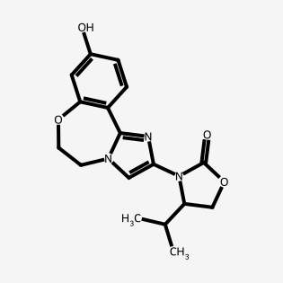 CC(C)C1COC(=O)N1c1cn2c(n1)-c1ccc(O)cc1OCC2